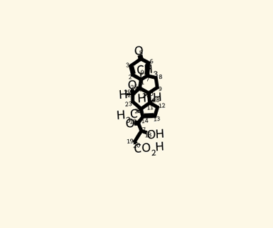 C[C@]12C=CC(=O)C=C1CC[C@H]1[C@@H]3CC=C(C(=O)C(O)CC(=O)O)[C@@]3(C)C[C@@H]3O[C@@]312